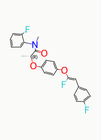 C[C@@H](Oc1ccc(OC(F)=Cc2ccc(F)cc2)cc1)C(=O)N(C)c1ccccc1F